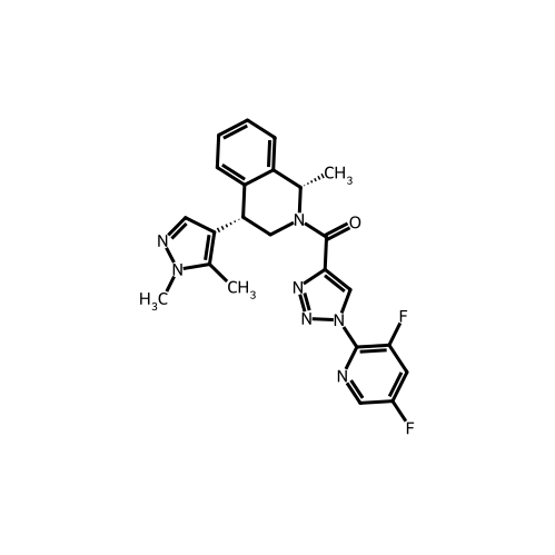 Cc1c([C@H]2CN(C(=O)c3cn(-c4ncc(F)cc4F)nn3)[C@@H](C)c3ccccc32)cnn1C